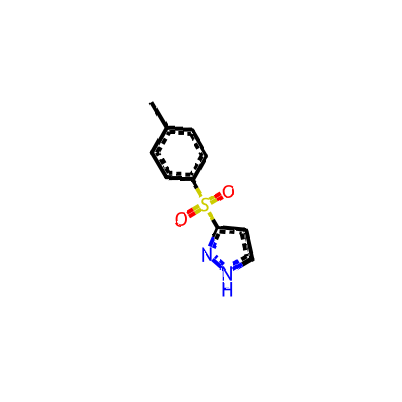 Cc1ccc(S(=O)(=O)c2cc[nH]n2)cc1